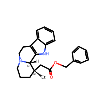 CC[C@@]1(CC(=O)OCc2ccccc2)CCCN2CCc3c([nH]c4ccccc34)[C@@H]21